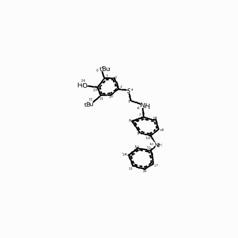 CC(C)(C)c1cc(SCNc2ccc(Nc3ccccc3)cc2)cc(C(C)(C)C)c1O